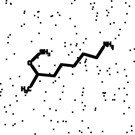 CC(CCCCCN)O[SiH3]